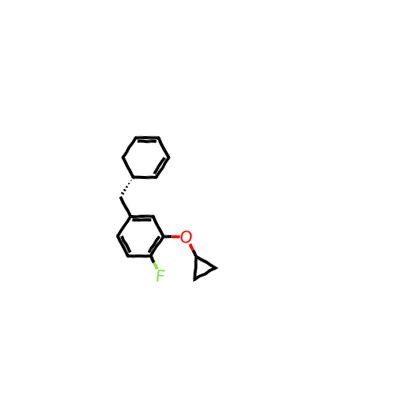 Fc1ccc(C[C@H]2C=CC=CC2)cc1OC1CC1